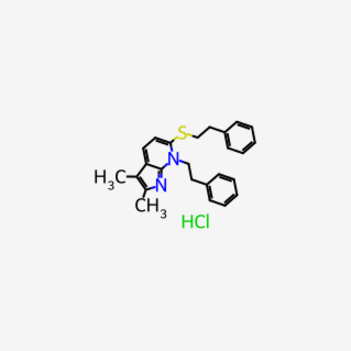 Cc1nc2n(CCc3ccccc3)c(SCCc3ccccc3)ccc-2c1C.Cl